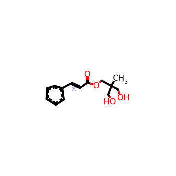 CC(CO)(CO)COC(=O)/C=C/c1ccccc1